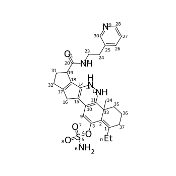 CCC1=C2C(OS(N)(=O)=O)=CC3=C(NNC4=C3CC3=C4C(C(=O)NCCc4cccnc4)CC3)C2(C)CCC1